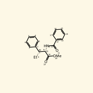 CC[C@H](c1ccccc1)[C@H](NC(=O)c1ccccc1)C(=O)OC